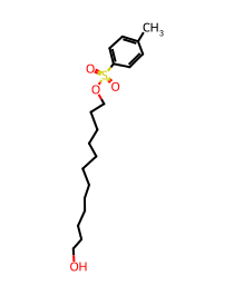 Cc1ccc(S(=O)(=O)OCCCCCCCCCCCCO)cc1